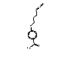 CC(=O)c1ccc(CCCCN=[N+]=[N-])cc1